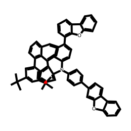 CC(C)(C)c1cc(-c2cccc3cccc(-c4ccccc4N(c4ccc(-c5ccc6c(c5)oc5ccccc56)cc4)c4ccc(-c5cccc6c5oc5ccccc56)cc4)c23)cc(C(C)(C)C)c1